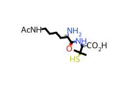 CC(=O)NCCCC[C@H](N)C(=O)N[C@H](C(=O)O)C(C)(C)S